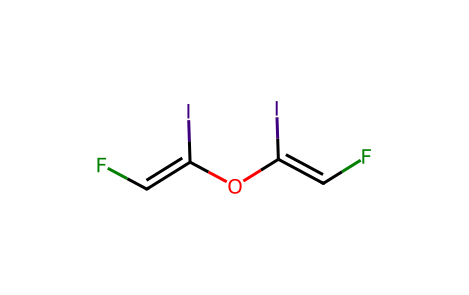 F/C=C(\I)O/C(I)=C/F